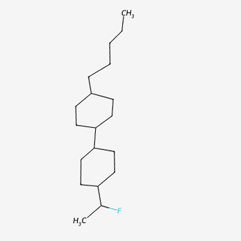 CCCCCC1CCC(C2CCC(C(C)F)CC2)CC1